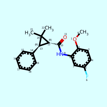 COc1ccc(F)cc1NC(=O)[C@@H]1[C@@H](c2ccccc2)C1(C)C